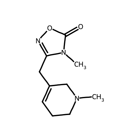 CN1CCC=C(Cc2noc(=O)n2C)C1